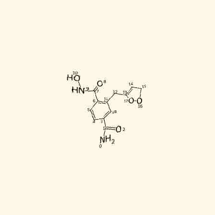 NC(=O)c1ccc(C(=O)NO)c(CC2=CCOO2)c1